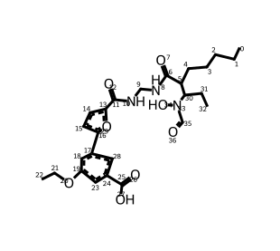 CCCCCC(C(=O)NCNC(=O)c1ccc(-c2cc(OCC)cc(C(=O)O)c2)o1)C(CC)N(O)C=O